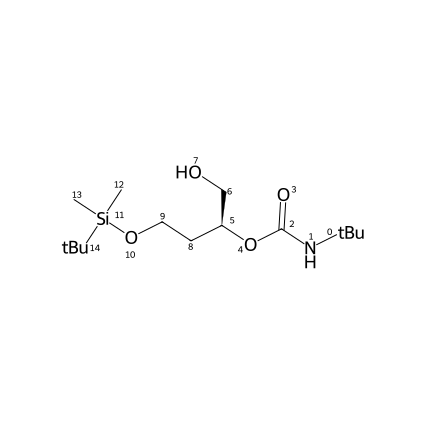 CC(C)(C)NC(=O)O[C@H](CO)CCO[Si](C)(C)C(C)(C)C